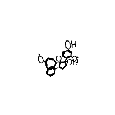 COC1=CC=CC([C@@]23Oc4cc(O)cc(OC)c4[C@]2(O)CC[C@H]3c2ccccc2)C=C1